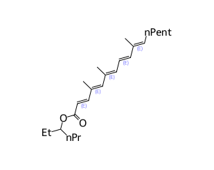 CCCCC/C=C(C)/C=C/C=C(C)/C=C(C)/C=C/C(=O)OC(CC)CCC